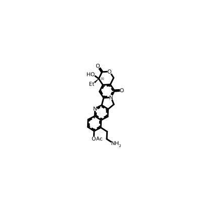 CC[C@@]1(O)C(=O)OCc2c1cc1n(c2=O)Cc2cc3c(CCN)c(OC(C)=O)ccc3nc2-1